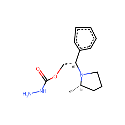 C[C@H]1CCCN1[C@H](COC(=O)NN)c1ccccc1